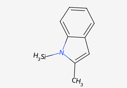 Cc1cc2ccccc2n1[SiH3]